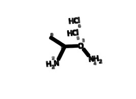 CC(N)ON.Cl.Cl